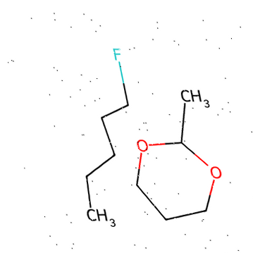 CC1OCCCO1.CCCCCF